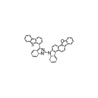 C1=CCC2C(=C1)c1c(ccc3c1ccc1c4ccccc4oc31)N2C1N2C(c3cccc4c3sc3ccccc34)=C3C=CC=CC3N12